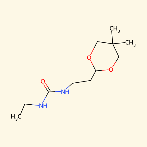 CCNC(=O)NCCC1OCC(C)(C)CO1